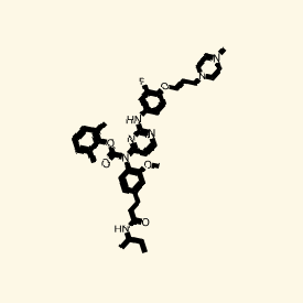 CCC(C)NC(=O)CCc1ccc(N(C(=O)Oc2c(C)cccc2C)c2ccnc(Nc3ccc(OCCCN4CCN(C)CC4)c(F)c3)n2)c(OC)c1